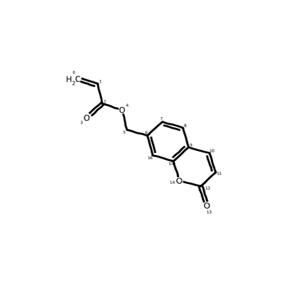 C=CC(=O)OCc1ccc2ccc(=O)oc2c1